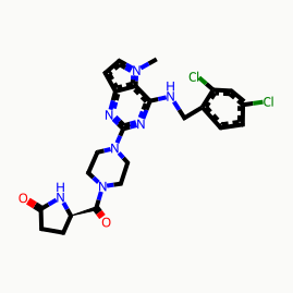 Cn1ccc2nc(N3CCN(C(=O)[C@H]4CCC(=O)N4)CC3)nc(NCc3ccc(Cl)cc3Cl)c21